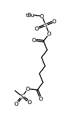 CC(C)(C)OS(=O)(=O)OC(=O)CCCCCC(=O)OS(C)(=O)=O